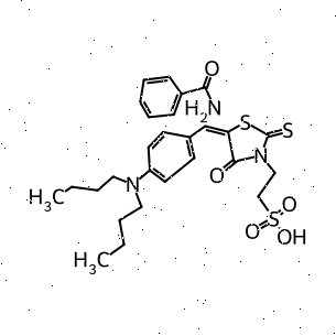 CCCCN(CCCC)c1ccc(C=C2SC(=S)N(CCS(=O)(=O)O)C2=O)cc1.NC(=O)c1ccccc1